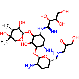 C[C@@H]1C(O)[C@@H](OC2C(O)C(O[C@H]3O[C@H](CNCC(O)CO)CCC3N)[C@@H](N)C[C@H]2NC(=N)C(O)C(O)CO)OCC1(C)O